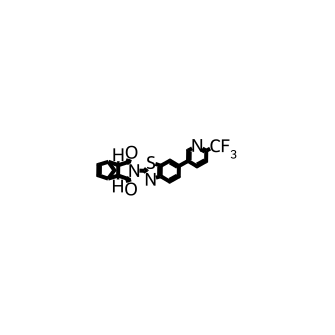 O=C1[C@@H]2C3C=CC(C3)[C@@H]2C(=O)N1c1nc2ccc(-c3ccc(C(F)(F)F)nc3)cc2s1